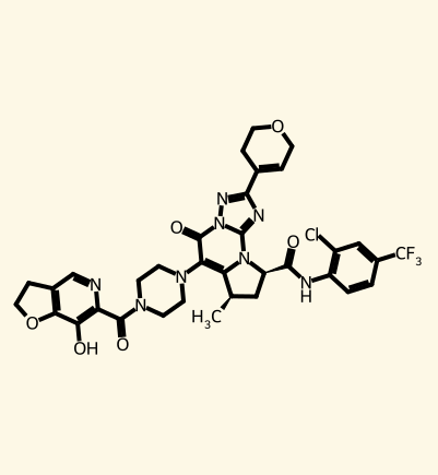 C[C@@H]1C[C@H](C(=O)Nc2ccc(C(F)(F)F)cc2Cl)n2c1c(N1CCN(C(=O)c3ncc4c(c3O)OCC4)CC1)c(=O)n1nc(C3=CCOCC3)nc21